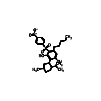 C=C(C)C1CCC(C)=CC1c1c(O)cc(CCCCC)c(S(=O)(=O)c2ccc([N+](=O)[O-])cc2)c1O